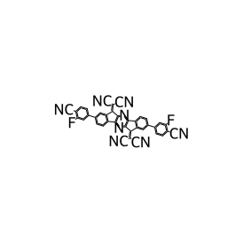 N#CC(C#N)=C1c2cc(-c3ccc(C#N)c(F)c3)ccc2-c2nc3c(nc21)-c1ccc(-c2ccc(C#N)c(F)c2)cc1C3=C(C#N)C#N